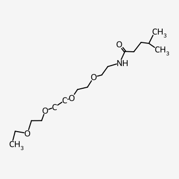 CCOCCOCCOCCOCCNC(=O)CCC(C)C